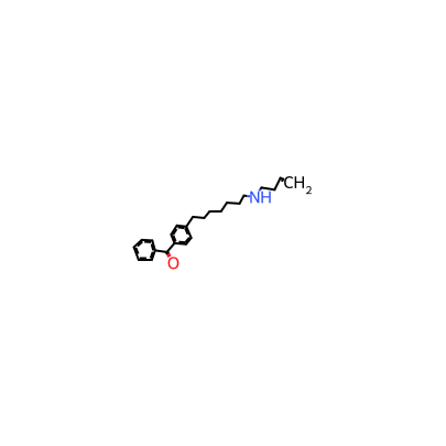 C=CCCNCCCCCCCc1ccc(C(=O)c2ccccc2)cc1